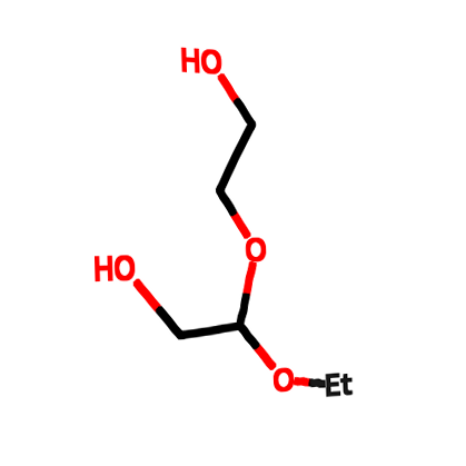 CCOC(CO)OCCO